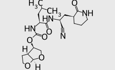 CC(C)C[C@H](NC(=O)O[C@H]1CO[C@H]2OCC[C@H]21)C(=O)N[C@H](C#N)C[C@@H]1CCCNC1=O